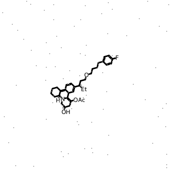 CC[C@H](CCOCCCCc1ccc(F)cc1)C1=CC2C(=C3CCCC[C@@H]3N3C[C@H](O)CC(OC(C)=O)=C23)C=C1